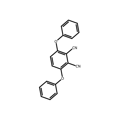 N#Cc1c(Oc2ccccc2)ccc(Oc2ccccc2)c1C#N